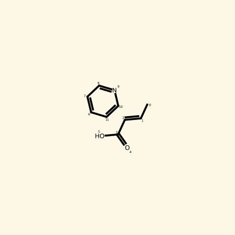 CC=CC(=O)O.c1ccncc1